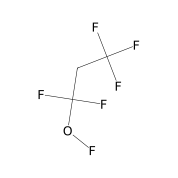 FOC(F)(F)CC(F)(F)F